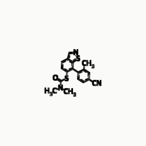 Cc1cc(C#N)ccc1-c1c(SC(=O)N(C)C)ccc2cnsc12